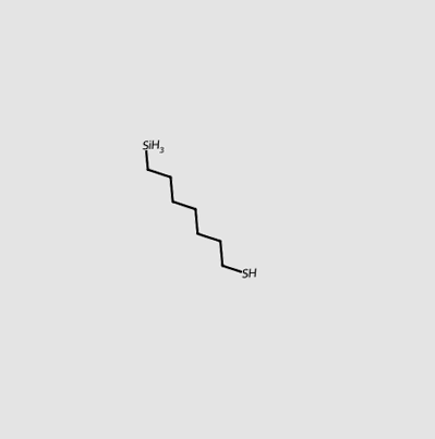 [SiH3]CCCCCCCS